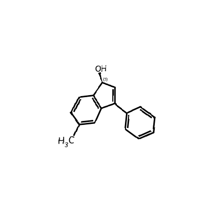 Cc1ccc2c(c1)C(c1ccccc1)=C[C@@H]2O